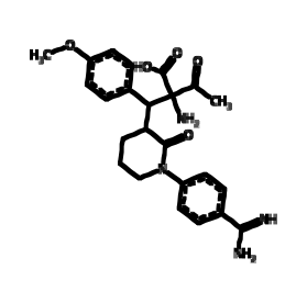 COc1ccc(C(C2CCCN(c3ccc(C(=N)N)cc3)C2=O)C(N)(C(C)=O)C(=O)O)cc1